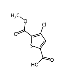 COC(=O)c1sc(C(=O)O)cc1Cl